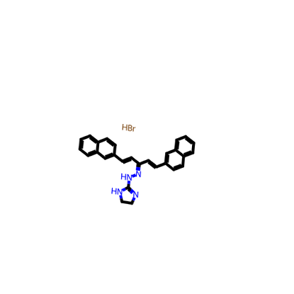 Br.C(=Cc1ccc2ccccc2c1)C(C=Cc1ccc2ccccc2c1)=NNC1=NCCN1